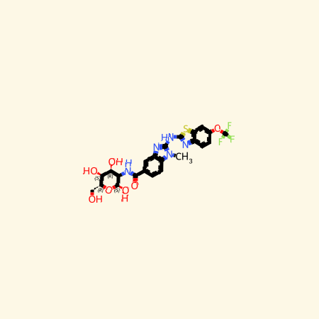 Cn1c(Nc2nc3ccc(OC(F)(F)F)cc3s2)nc2cc(C(=O)NC3[C@@H](O)[C@H](O)[C@@H](CO)O[C@@H]3O)ccc21